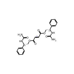 NC(=O)N[C@H](COC(=O)/C=C/C(=O)OC[C@@H](NC(N)=O)c1ccccc1)c1ccccc1